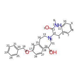 CNC(=O)C(Cc1ccccc1)N1CCc2cc(OCc3ccccc3)ccc2C(O)C1